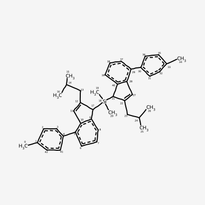 Cc1ccc(-c2cccc3c2C=C(CC(C)C)C3[Si](C)(C)C2C(CC(C)C)=Cc3c(-c4ccc(C)cc4)cccc32)cc1